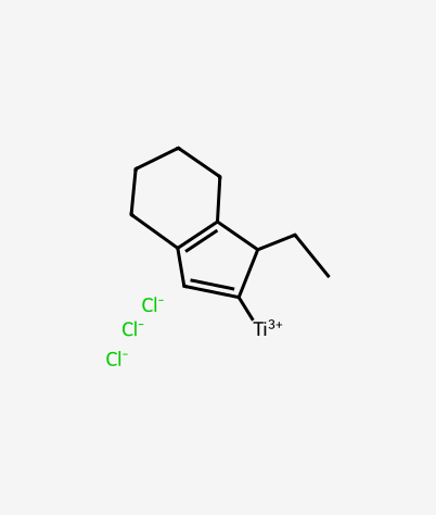 CCC1[C]([Ti+3])=CC2=C1CCCC2.[Cl-].[Cl-].[Cl-]